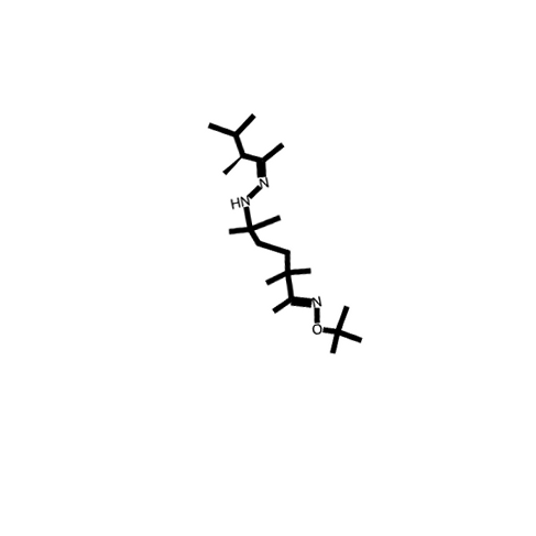 CC(=NNC(C)(C)CCC(C)(C)C(C)=NOC(C)(C)C)[C@@H](C)C(C)C